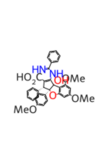 COc1ccc([C@@]23Oc4cc(OC)cc(OC)c4[C@]2(O)C(NC(=N)c2ccccc2)=C(C(=O)O)[C@H]3c2ccccc2)cc1